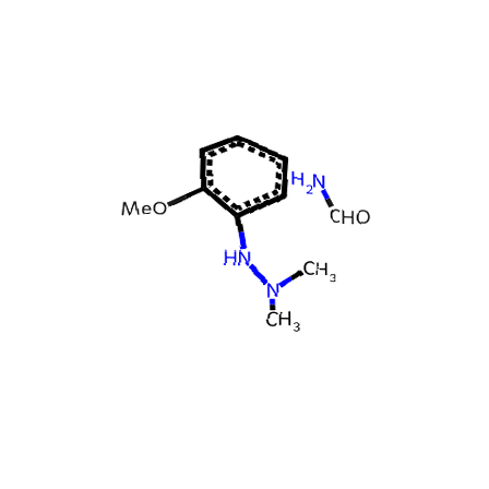 COc1ccccc1NN(C)C.NC=O